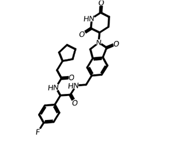 O=C1CCC(N2Cc3cc(CNC(=O)C(NC(=O)CC4CCCC4)c4ccc(F)cc4)ccc3C2=O)C(=O)N1